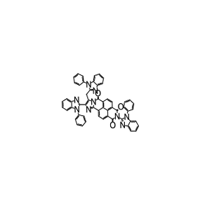 O=C1c2ccc3c(=O)n4c(Cc5nc6ccccc6n5-c5ccccc5)c(-c5nc6ccccc6n5-c5ccccc5)nc4c4ccc(c2c34)C(=O)N1c1nc2ccccc2n1-c1ccccc1